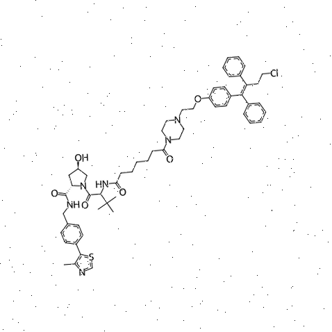 Cc1ncsc1-c1ccc(CNC(=O)[C@@H]2C[C@@H](O)CN2C(=O)C(NC(=O)CCCCCC(=O)N2CCN(CCOc3ccc(/C(=C(/CCCl)c4ccccc4)c4ccccc4)cc3)CC2)C(C)(C)C)cc1